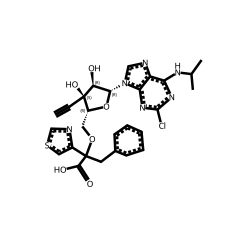 C#C[C@@]1(O)[C@@H](COC(Cc2ccccc2)(C(=O)O)c2cscn2)O[C@@H](n2cnc3c(NC(C)C)nc(Cl)nc32)[C@@H]1O